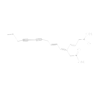 CCCC#CC#CCC=CC=C(C=CCC(=O)O)CC(=O)O